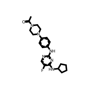 CC(=O)N1CCN(c2ccc(Nc3ncc(F)c(NC4CCCC4)n3)cc2)CC1